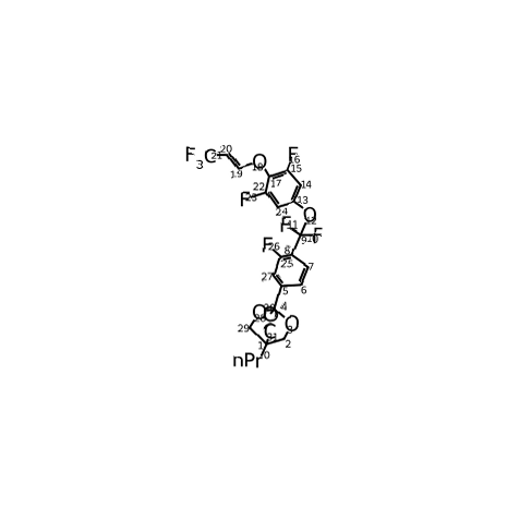 CCCC12COC(c3ccc(C(F)(F)Oc4cc(F)c(O/C=C/C(F)(F)F)c(F)c4)c(F)c3)(OC1)OC2